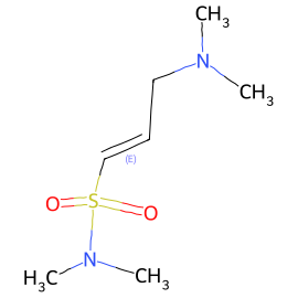 CN(C)C/C=C/S(=O)(=O)N(C)C